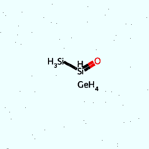 O=[SiH][SiH3].[GeH4]